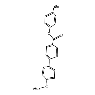 CCCCCCOc1ccc(-c2ccc(C(=O)Oc3ccc(CCCC)cc3)cc2)cc1